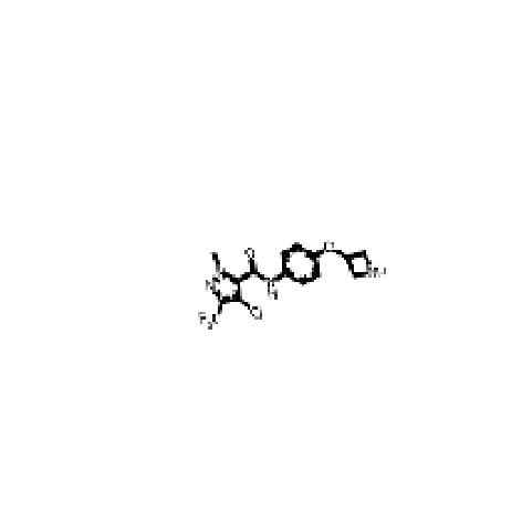 Cn1nc(C(F)(F)F)c(Cl)c1C(=O)Nc1ccc(OC2CNC2)cc1